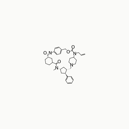 C=CCN(C(=O)OCc1ccc([N+](=O)[O-])cc1)C1CCN(C[C@H]2C[C@@H](N(C)C(=O)C3CCCCC3)C[C@@H]2c2ccccc2)CC1